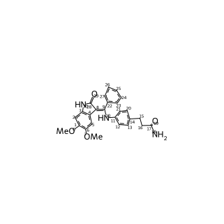 COc1cc2c(cc1OC)C(=C(Nc1ccc(CCC(N)=O)cc1)c1ccccc1)C(=O)N2